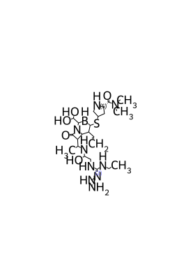 C=CC1C(SC2CN[C@H](C(=O)N(C)C)C2)BC(C(O)O)N2C(=O)C(C(C)NC(O)CN/C(=N\NN)NCC)C12